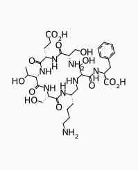 CC(O)[C@H](NC(=O)[C@H](CCC(=O)O)NC(=O)[C@@H](N)CO)C(=O)N[C@@H](CO)C(=O)N[C@@H](CCCCN)CN[C@@H](CO)C(=O)N[C@@H](Cc1ccccc1)C(=O)O